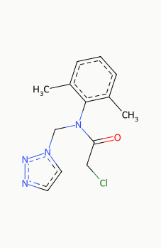 Cc1cccc(C)c1N(Cn1ccnn1)C(=O)CCl